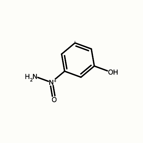 N[N+](=O)c1c[c]cc(O)c1